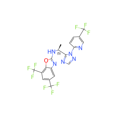 C[C@H](Nc1nc2cc(C(F)(F)F)cc(C(F)(F)F)c2o1)c1ncnn1-c1ccc(C(F)(F)F)cn1